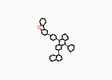 c1ccc(-c2c3ccccc3c(-c3ccc(-c4ccc5oc6ccccc6c5c4)cc3)c3ccc(-c4cccc5ccccc45)cc23)cc1